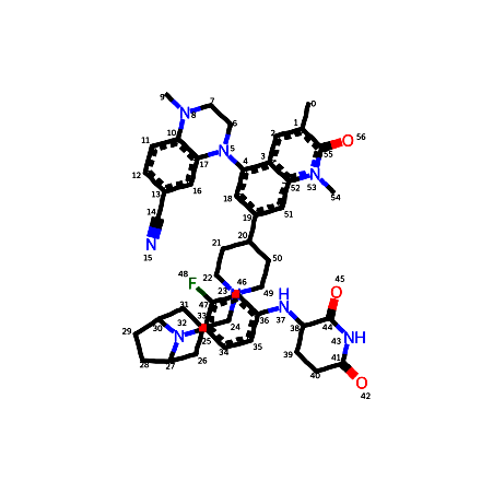 Cc1cc2c(N3CCN(C)c4ccc(C#N)cc43)cc(C3CCN(CC4CC5CCC(C4)N5c4ccc(NC5CCC(=O)NC5=O)cc4F)CC3)cc2n(C)c1=O